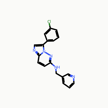 Clc1cccc(-c2cnc3ccc(NCc4cccnc4)nn23)c1